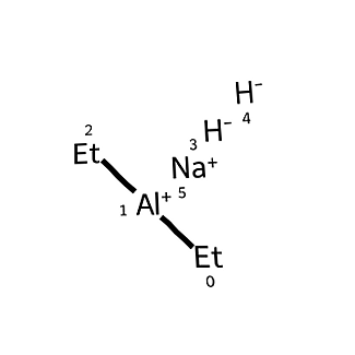 C[CH2][Al+][CH2]C.[H-].[H-].[Na+]